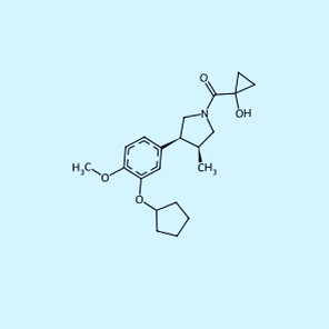 COc1ccc([C@H]2CN(C(=O)C3(O)CC3)C[C@H]2C)cc1OC1CCCC1